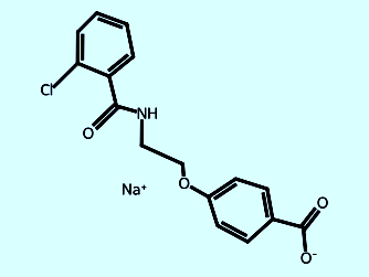 O=C([O-])c1ccc(OCCNC(=O)c2ccccc2Cl)cc1.[Na+]